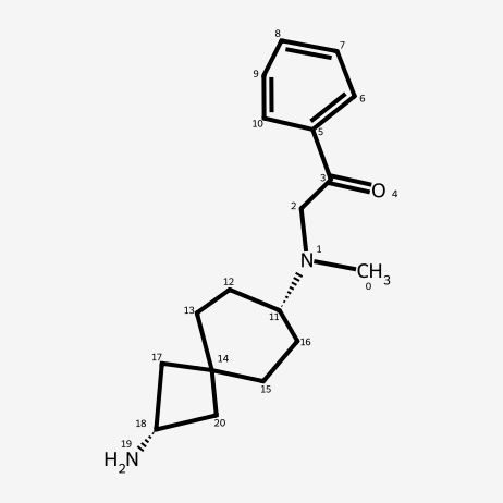 CN(CC(=O)c1ccccc1)[C@H]1CCC2(CC1)C[C@@H](N)C2